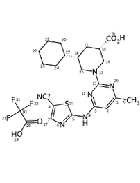 Cc1cc(Nc2ncc(C#N)s2)nc(N2C[C@@H](C(=O)O)C[C@@H](C3CCCCC3)C2)n1.O=C(O)C(F)(F)F